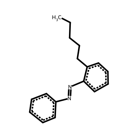 CCCCCc1ccccc1N=Nc1ccccc1